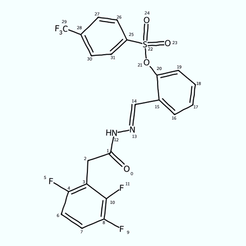 O=C(Cc1c(F)ccc(F)c1F)NN=Cc1ccccc1OS(=O)(=O)c1ccc(C(F)(F)F)cc1